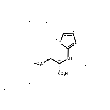 O=C(O)C[C@H](Nc1ccco1)C(=O)O